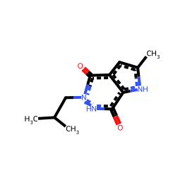 Cc1cc2c(=O)n(CC(C)C)[nH]c(=O)c2[nH]1